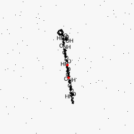 CCCCNC(=O)COCCOCCNC(=O)COCCOCCNC(=O)COCCOCCNC(=O)CC[C@H](NC(=O)C1CCCCC1)C(=O)O